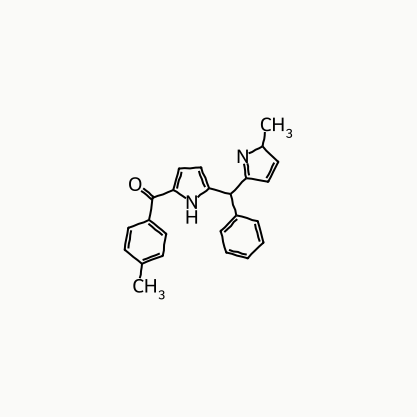 Cc1ccc(C(=O)c2ccc(C(C3=NC(C)C=C3)c3ccccc3)[nH]2)cc1